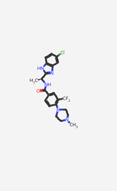 C[C@H](NC(=O)c1ccc(N2CCN(C)CC2)c(C(F)(F)F)c1)c1nc2cc(Cl)ccc2[nH]1